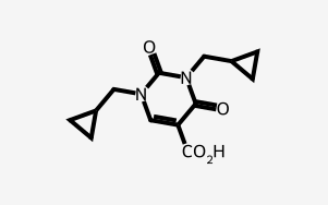 O=C(O)c1cn(CC2CC2)c(=O)n(CC2CC2)c1=O